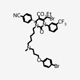 CCOC(=O)C1=C(CBr)N(c2cccc(C(F)(F)F)c2)C(=O)N(CCCCCN(C)CCCOc2ccc(Br)cc2)[C@@H]1c1ccc(C#N)cc1